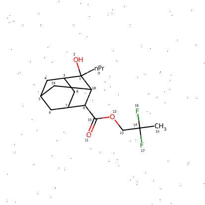 CCCC1(O)C2CC3CC(C2)C(C(=O)OCC(C)(F)F)C1C3